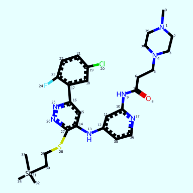 CN1CCN(CCC(=O)Nc2cc(Nc3cc(-c4cc(Cl)ccc4F)nnc3SCC[Si](C)(C)C)ccn2)CC1